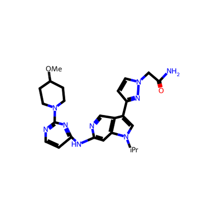 COC1CCN(c2nccc(Nc3cc4c(cn3)c(-c3ccn(CC(N)=O)n3)cn4C(C)C)n2)CC1